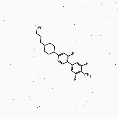 CC(C)CCCC1CCC(c2ccc(-c3cc(F)c(C(F)(F)F)c(F)c3)c(F)c2)CC1